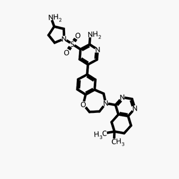 CC1(C)CCc2ncnc(N3CCOc4ccc(-c5cnc(N)c(S(=O)(=O)N6CCC(N)C6)c5)cc4C3)c2C1